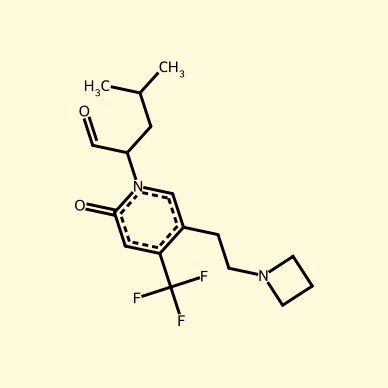 CC(C)CC(C=O)n1cc(CCN2CCC2)c(C(F)(F)F)cc1=O